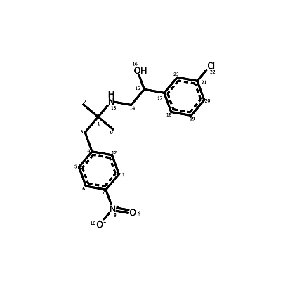 CC(C)(Cc1ccc([N+](=O)[O-])cc1)NCC(O)c1cccc(Cl)c1